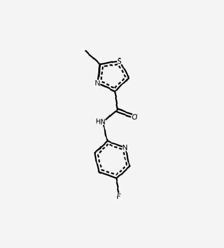 Cc1nc(C(=O)Nc2ccc(F)cn2)cs1